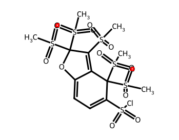 CS(=O)(=O)C1=C2C(=CC=C(S(=O)(=O)Cl)C2(S(C)(=O)=O)S(C)(=O)=O)OC1(S(C)(=O)=O)S(C)(=O)=O